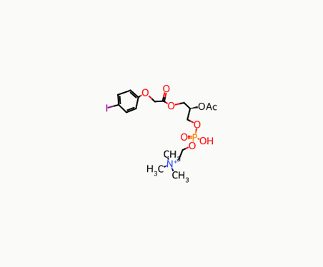 CC(=O)O[C@H](COC(=O)COc1ccc(I)cc1)COP(=O)(O)OCC[N+](C)(C)C